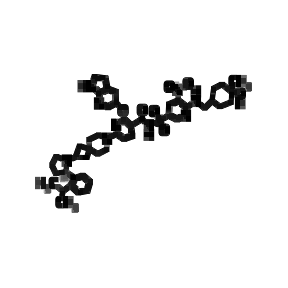 CC(C)c1ccccc1[C@H]1CCCN1C1CC2(CCN(c3ccc(C(=O)NS(=O)(=O)c4cnc(NCC5CCC(C)(O)CC5)c([N+](=O)[O-])c4)c(Oc4cnc5[nH]ccc5c4)n3)CC2)C1